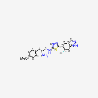 COc1ccc(C[C@@H](N)CNc2nnc(-c3cc4cn[nH]c4cc3F)s2)cc1